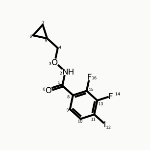 O=C(NOCC1CC1)c1ccc(I)c(F)c1F